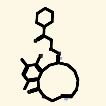 Cc1cc(C)c2c(c1Cl)C/C(=N\OCC(=O)N1CCCCC1)CCCC/C=C/COC2=O